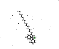 CCCCCCCCCCCCCCCCCC[Si](Cl)(c1ccccc1)c1ccccc1